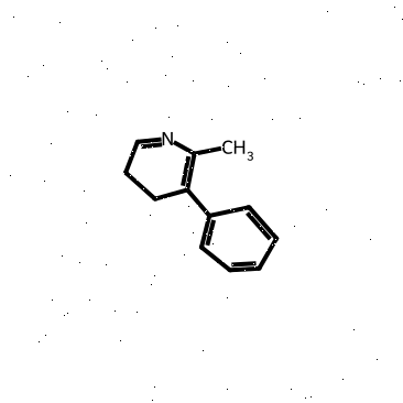 CC1=C(c2ccccc2)CCC=N1